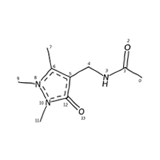 CC(=O)NCc1c(C)n(C)n(C)c1=O